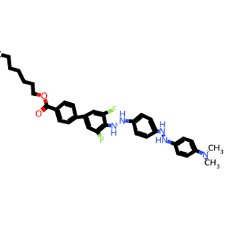 CCCCCCCOC(=O)c1ccc(-c2cc(F)c(NNc3ccc(NNc4ccc(N(C)C)cc4)cc3)c(F)c2)cc1